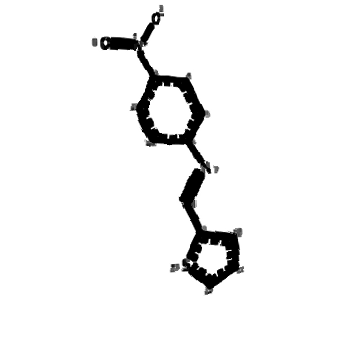 O=[N+]([O-])c1ccc(/N=C/c2cccs2)cc1